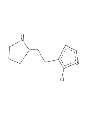 Clc1sccc1CCC1CCCN1